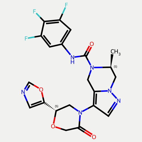 C[C@H]1Cn2ncc(N3C[C@@H](c4cnco4)OCC3=O)c2CN1C(=O)Nc1cc(F)c(F)c(F)c1